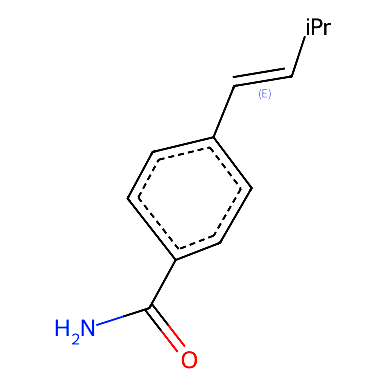 CC(C)/C=C/c1ccc(C(N)=O)cc1